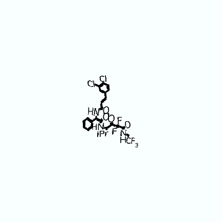 CC(C)C(NC(=O)C(NC(=O)/C=C/c1ccc(Cl)c(Cl)c1)c1ccccc1)C(=O)C(F)(F)C(=O)NCC(F)(F)F